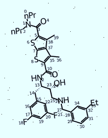 CCCN(CCC)C(=O)c1sc2sc(C(=O)N[C@@H](Cc3cc(F)cc(F)c3)[C@H](O)CNCc3cccc(CC)c3)c(C)c2c1C